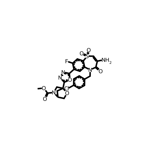 COC(=O)N1CC2(c3nnc(-c4cc5c(cc4F)S(=O)(=O)C=C(N)C(=O)N5Cc4ccc(Cl)cc4)o3)CC1CO2